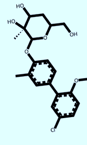 COc1ccc(Cl)cc1-c1ccc(OC2OC(CO)CC(O)[C@]2(C)O)c(C)c1